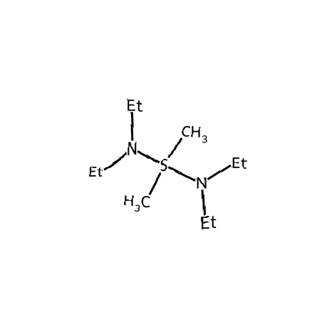 CCN(CC)S(C)(C)N(CC)CC